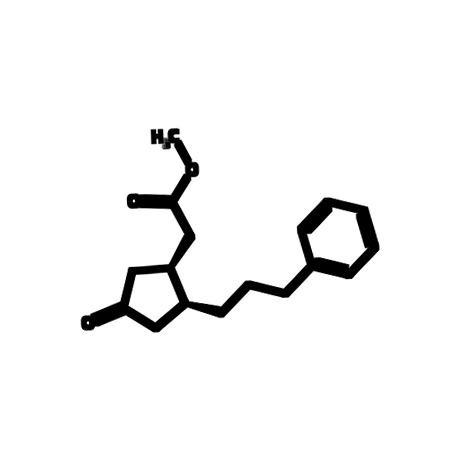 COC(=O)C[C@@H]1CC(=O)C[C@@H]1CCCc1ccccc1